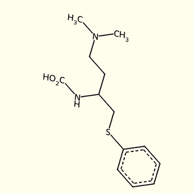 CN(C)CCC(CSc1ccccc1)NC(=O)O